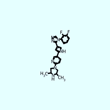 CC1CN(c2ccc(-c3cc(-c4nncn4-c4cccc(F)c4F)c[nH]3)cn2)CC(C)N1